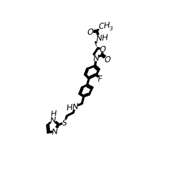 CC(=O)NC[C@H]1CN(c2ccc(-c3ccc(CNCCSc4ncc[nH]4)cc3)c(F)c2)C(=O)O1